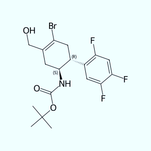 CC(C)(C)OC(=O)N[C@H]1CC(CO)=C(Br)C[C@@H]1c1cc(F)c(F)cc1F